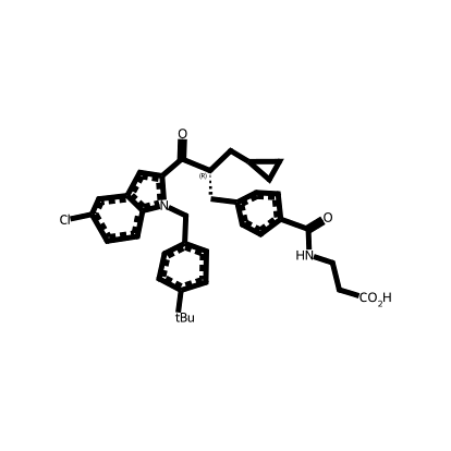 CC(C)(C)c1ccc(Cn2c(C(=O)[C@@H](Cc3ccc(C(=O)NCCC(=O)O)cc3)CC3CC3)cc3cc(Cl)ccc32)cc1